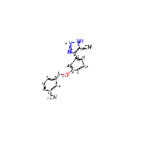 N#Cc1cccc(COc2cccc(-c3nn[nH]c3C#N)c2)c1